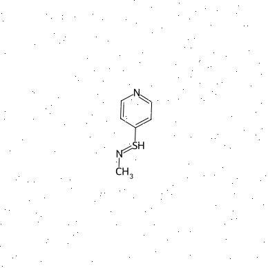 CN=[SH]c1ccncc1